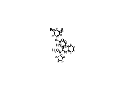 CN(c1nc2ccccc2c(=O)n1NC(=O)Cc1cc(F)cc(F)c1)C1CCCC1